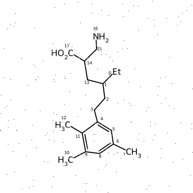 CCC(CCc1cc(C)cc(C)c1C)CC(CN)C(=O)O